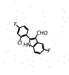 O=Cc1c(-c2ccc(F)cc2Cl)[nH]c2ccc(F)cc12